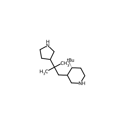 CC(C)(CC1CNCC[C@H]1C(C)(C)C)C1CCNC1